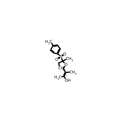 CCC(C)(OC/C(C)=C(\C)O)S(=O)(=O)c1ccc(C)cc1